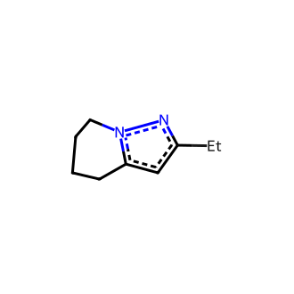 CCc1cc2n(n1)CCCC2